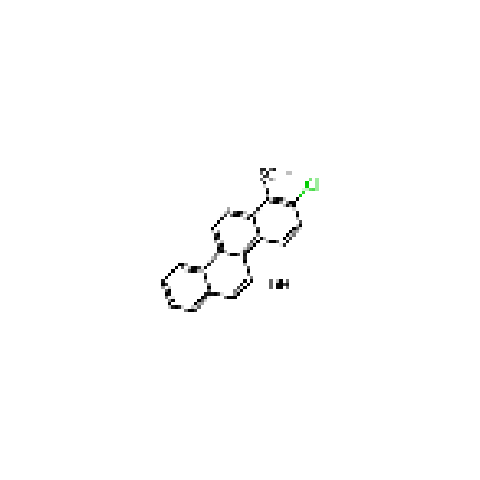 O=S(=O)(O)c1c(Cl)ccc2c1ccc1c3ccccc3ccc21.[LiH]